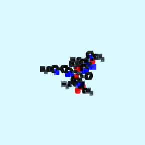 COC(=O)NCC(C)(C)CC(=O)NC(Cc1ccc(-c2ccc(C)cn2)cc1)C(O)CC(Cc1ccccc1)NC(=O)[C@H](C1CNC(=O)N1Cc1cccc(C)n1)C(C)(C)C